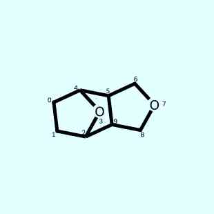 C1CC2OC1C1COCC21